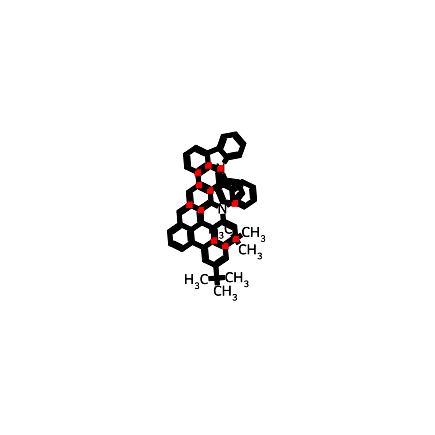 CC(C)(C)c1cc(-c2cccc3cccc(-c4ccccc4N(c4cccc(-c5cccc6c7ccccc7n(-c7ccccc7)c56)c4)c4ccccc4-c4ccccc4)c23)cc(C(C)(C)C)c1